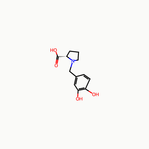 O=C(O)[C@@H]1CCCN1Cc1ccc(O)c(O)c1